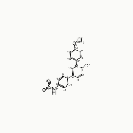 O=c1ccc(-c2ccc(N[SH](=O)=O)cc2)cn1-c1ccc(OC(F)(F)F)cc1